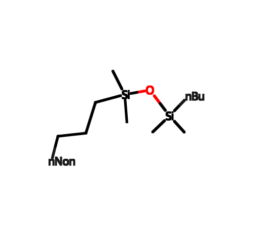 CCCCCCCCCCCC[Si](C)(C)O[Si](C)(C)CCCC